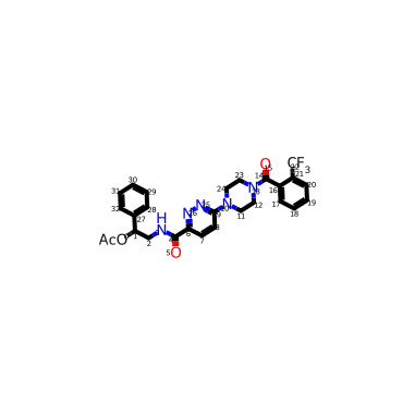 CC(=O)OC(CNC(=O)c1ccc(N2CCN(C(=O)c3ccccc3C(F)(F)F)CC2)nn1)c1ccccc1